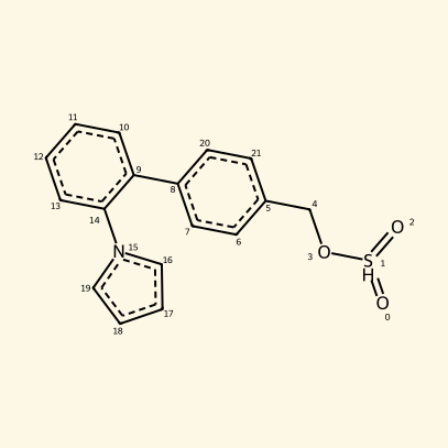 O=[SH](=O)OCc1ccc(-c2ccccc2-n2cccc2)cc1